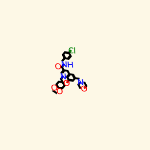 O=C(NCc1ccc(Cl)cc1)C1=CN2CC3(CCC4(CC3)OCCO4)Oc3cc(CN4CCOCC4)cc(c32)C1